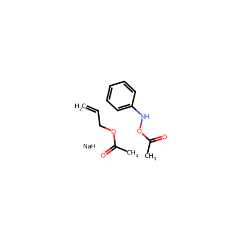 C=CCOC(C)=O.CC(=O)ONc1ccccc1.[NaH]